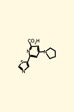 O=C(O)c1cc(N2CCCC2)cc(-c2cncs2)n1